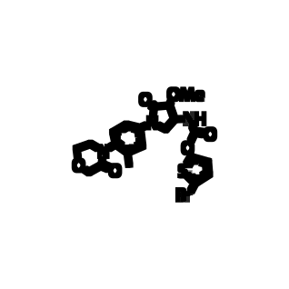 COC1C(=O)N(c2ccc(N3CCOCC3=O)c(C)c2)CC1NC(=O)Oc1ccc(Br)s1